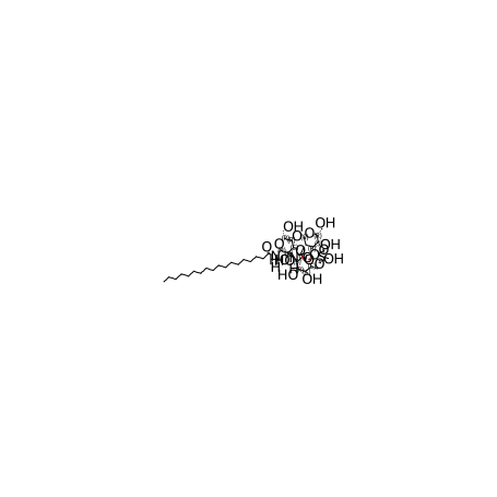 CCCCCCCCCCCCCCCCCC(=O)N[C@@H]1O[C@H](CO)[C@@H](O[C@H]2C[C@@H](OS(=O)(=O)O)[C@@H](O)[C@@H](CO)O2)[C@H](O[C@@H]2O[C@@H](C)[C@@H](O)[C@@H](O)[C@@H]2O)[C@]1(O)NC(C)=O